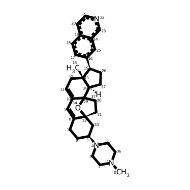 CN1CCN([C@H]2CCC3=CC4=CC[C@]5(C)[C@@H](c6ccc7ccncc7c6)CC[C@H]5C45CC[C@]3(C2)O5)CC1